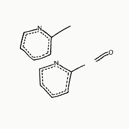 C=O.Cc1ccccn1.Cc1ccccn1